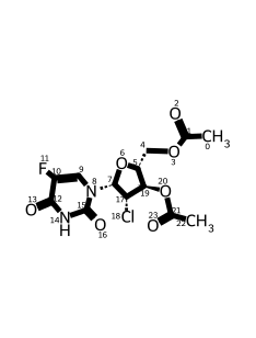 CC(=O)OC[C@H]1O[C@@H](n2cc(F)c(=O)[nH]c2=O)[C@@H](Cl)[C@@H]1OC(C)=O